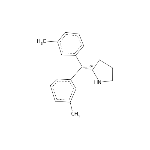 Cc1cccc(C(c2cccc(C)c2)[C@@H]2CCCN2)c1